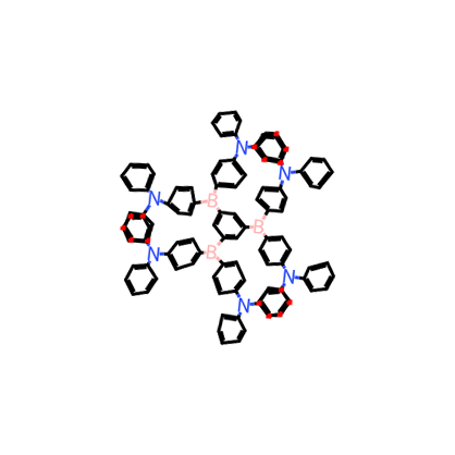 c1ccc(N(c2ccccc2)c2ccc(B(c3ccc(N(c4ccccc4)c4ccccc4)cc3)c3cc(B(c4ccc(N(c5ccccc5)c5ccccc5)cc4)c4ccc(N(c5ccccc5)c5ccccc5)cc4)cc(B(c4ccc(N(c5ccccc5)c5ccccc5)cc4)c4ccc(N(c5ccccc5)c5ccccc5)cc4)c3)cc2)cc1